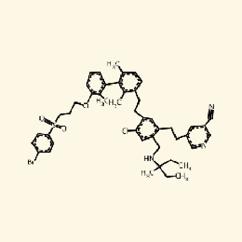 CCC(C)(CC)NCc1cc(Cl)c(CCc2ccc(C)c(-c3cccc(OCCCS(=O)(=O)c4ccc(Br)cc4)c3C)c2C)cc1CCc1cncc(C#N)c1